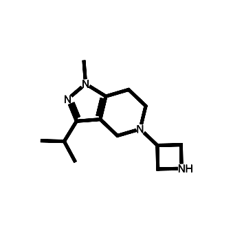 CC(C)c1nn(C)c2c1CN(C1CNC1)CC2